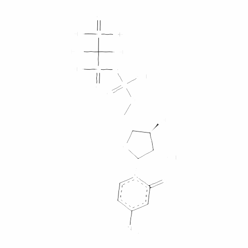 CC(O)(P(=O)(O)O)P(=O)(O)OP(=O)(O)OC[C@H]1O[C@@H](n2ccc(N)cc2=O)[C@@H](O)[C@@H]1O